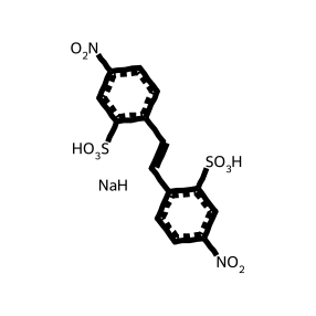 O=[N+]([O-])c1ccc(C=Cc2ccc([N+](=O)[O-])cc2S(=O)(=O)O)c(S(=O)(=O)O)c1.[NaH]